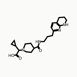 O=C(NCCCc1ccc2c(n1)NCCC2)C1CCN(C(C(=O)O)C2CC2)CC1